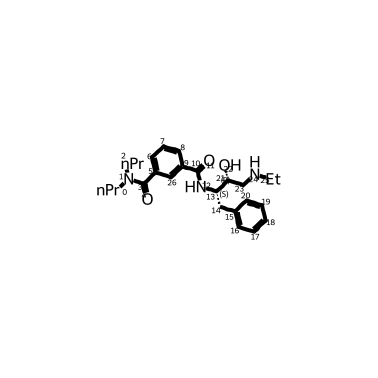 CCCN(CCC)C(=O)c1cccc(C(=O)N[C@@H](Cc2ccccc2)[C@H](O)CNCC)c1